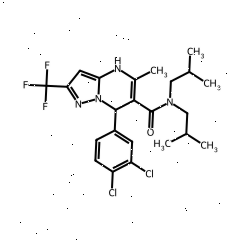 CC1=C(C(=O)N(CC(C)C)CC(C)C)C(c2ccc(Cl)c(Cl)c2)n2nc(C(F)(F)F)cc2N1